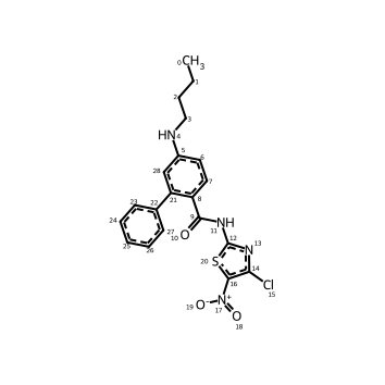 CCCCNc1ccc(C(=O)Nc2nc(Cl)c([N+](=O)[O-])s2)c(-c2ccccc2)c1